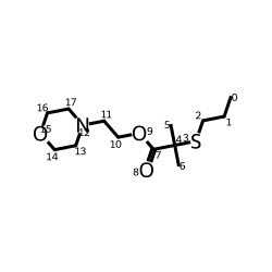 CCCSC(C)(C)C(=O)OCCN1CCOCC1